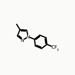 Cc1cnn(-c2ccc(C(F)(F)F)cc2)c1